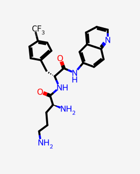 NCCC[C@H](N)C(=O)N[C@H](Cc1ccc(C(F)(F)F)cc1)C(=O)Nc1ccc2ncccc2c1